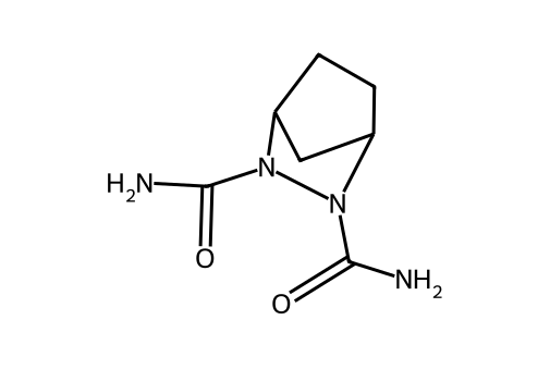 NC(=O)N1C2CCC(C2)N1C(N)=O